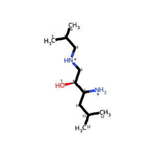 CC(C)CNC[C@H](O)C(N)CC(C)C